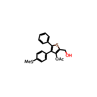 CSc1ccc(-c2c(-c3ccccc3)sc(CO)c2OC(C)=O)cc1